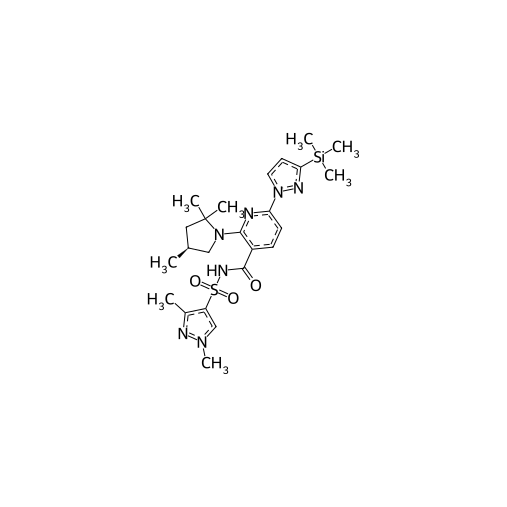 Cc1nn(C)cc1S(=O)(=O)NC(=O)c1ccc(-n2ccc([Si](C)(C)C)n2)nc1N1C[C@@H](C)CC1(C)C